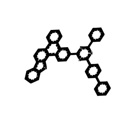 c1ccc(-c2ccc(-c3nc(-c4ccccc4)nc(-c4ccc5c(c4)c4ccccc4c4ccc6c7ccccc7sc6c45)n3)cc2)cc1